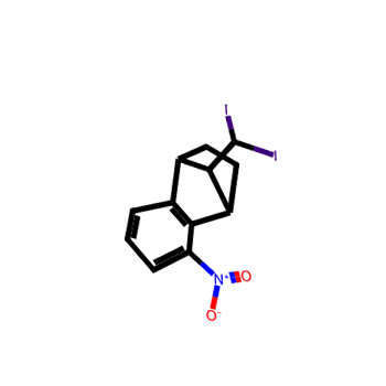 O=[N+]([O-])c1cccc2c1C1CCC2C1C(I)I